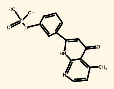 Cc1ccnc2[nH]c(-c3cccc(OP(=O)(O)O)c3)cc(=O)c12